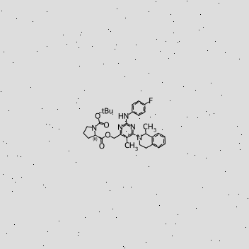 Cc1c(COC(=O)[C@H]2CCCN2C(=O)OC(C)(C)C)nc(Nc2ccc(F)cc2)nc1N1CCc2ccccc2C1C